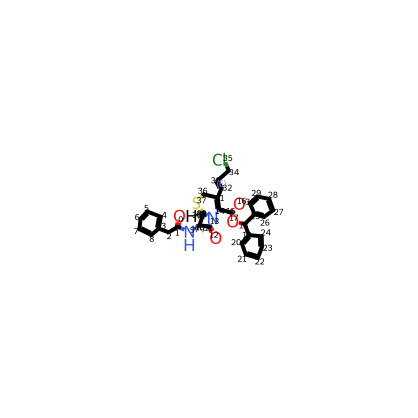 O=C(Cc1ccccc1)N[C@@H]1C(=O)N2C(C(=O)OC(c3ccccc3)c3ccccc3)=C(/C=C/CCl)CS[C@H]12